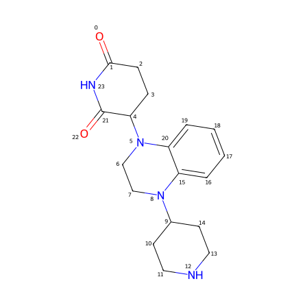 O=C1CCC(N2CCN(C3CCNCC3)c3ccccc32)C(=O)N1